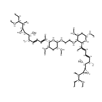 CC[C@H](OC)[C@@H](C)[C@@H]1O[C@H]1[C@H](O)[C@@H](C)/C=C/C=C(\C)[C@@H]1O[C@@H](OC)C[C@H](OC)[C@@H]1OCCO[C@@H]1O[C@@H](/C(C)=C/C=C/[C@H](C)[C@@H](O)[C@@H]2O[C@H]2[C@H](C)[C@H](CC)OC)[C@H](OC)C[C@H]1OC